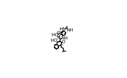 CC(=N)Nc1ccc2c(c1)S(O)(O)N=C(C1=C(O)c3ccccc3[C@@](C)(CCC(C)C)C1=O)N2